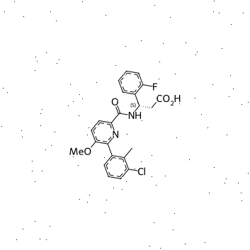 COc1ccc(C(=O)N[C@@H](CC(=O)O)c2ccccc2F)nc1-c1cccc(Cl)c1C